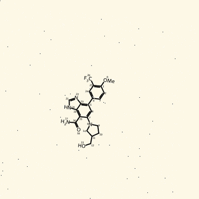 COc1ccc(-c2cc(N3CCC(CO)C3)c(C(N)=O)c3[nH]cnc23)cc1C(F)(F)F